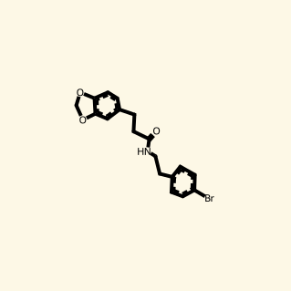 O=C(CCc1ccc2c(c1)OCO2)NCCc1ccc(Br)cc1